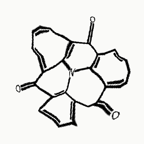 O=c1c2cccc3c(=O)c4cccc5c(=O)c6cccc1c6n(c23)c45